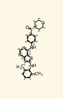 Cc1cccc(C)c1Nc1nc2c(Nc3ccc([S+]([O-])N4CCOCC4)cc3)ncnc2s1